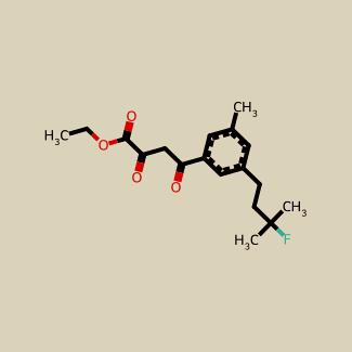 CCOC(=O)C(=O)CC(=O)c1cc(C)cc(CCC(C)(C)F)c1